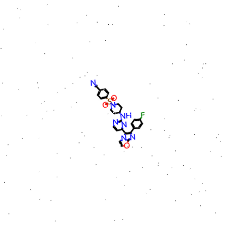 N#Cc1ccc(S(=O)(=O)N2CCC(Nc3nccc(-c4c(-c5ccc(F)cc5)nc5occn45)n3)CC2)cc1